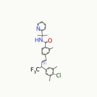 Cc1cc(/C=C/C(c2cc(C)c(Cl)c(C)c2)C(F)(F)F)ccc1C(=O)NC(C)(C)c1ccccn1